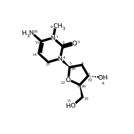 CN1C(=O)N([C@H]2C[C@H](O)[C@@H](CO)O2)CC=C1N